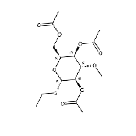 CCS[C@@H]1O[C@@H](COC(C)=O)[C@@H](OC(C)=O)[C@H](OC)[C@H]1OC(C)=O